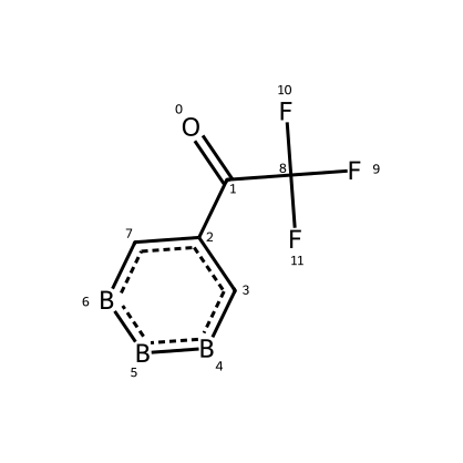 O=C(c1cbbbc1)C(F)(F)F